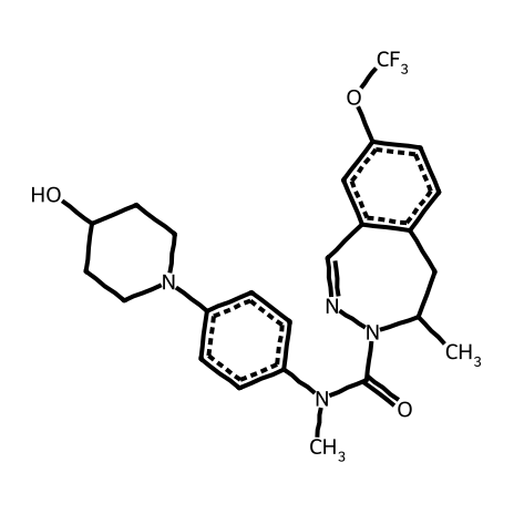 CC1Cc2ccc(OC(F)(F)F)cc2C=NN1C(=O)N(C)c1ccc(N2CCC(O)CC2)cc1